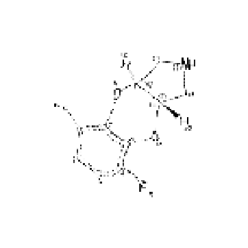 Fc1ccc(F)c2c1O[C@H]1CNC[C@@H]1O2